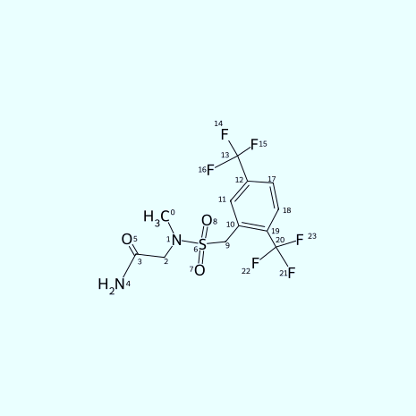 CN(CC(N)=O)S(=O)(=O)Cc1cc(C(F)(F)F)ccc1C(F)(F)F